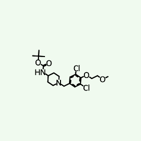 COCCOc1c(Cl)cc(CN2CCC(NC(=O)OC(C)(C)C)CC2)cc1Cl